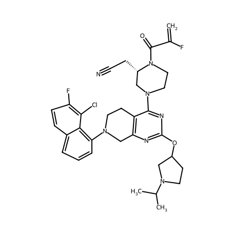 C=C(F)C(=O)N1CCN(c2nc(OC3CCN(C(C)C)C3)nc3c2CCN(c2cccc4ccc(F)c(Cl)c24)C3)C[C@@H]1CC#N